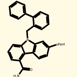 CCCCCc1c[c]c2c3c(C(N)=O)cccc3n(Cc3ccccc3-c3ccccc3)c2c1